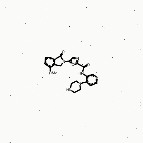 COc1cccc2c1CN(c1cnc(C(=O)Nc3cnccc3N3CCNCC3)o1)C2=O